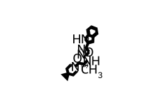 C[C@H](Nc1nnc(-c2cc3ccccc3[nH]2)o1)C(=O)N1CCC2(CC1)CC2